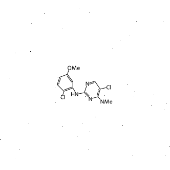 CNc1nc(Nc2cc(OC)[c]cc2Cl)ncc1Cl